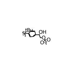 CC(C)(C)[Si](C)(C)c1ccc([C@@H](O)COS(C)(=O)=O)cc1